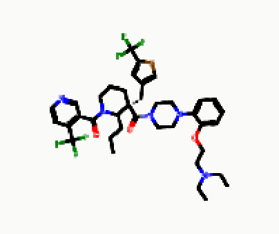 CCC[C@H]1N(C(=O)c2cnccc2C(F)(F)F)CCC[C@@]1(Cc1csc(C(F)(F)F)c1)C(=O)N1CCN(c2ccccc2OCCN(CC)CC)CC1